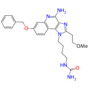 COCCc1nc2c(N)nc3cc(OCc4ccccc4)ccc3c2n1CCCCNC(N)=O